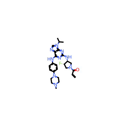 C=CC(=O)N1C[C@H](Nc2nc(Nc3ccc(N4CCN(C)CC4)cc3)c3ncn(C(C)C)c3n2)[C@@H](F)C1